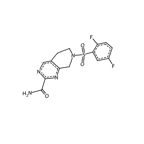 NC(=O)c1n[c]c2c(n1)CN(S(=O)(=O)c1cc(F)ccc1F)CC2